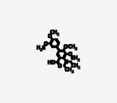 CCN(CC)c1c(C(=O)O)cc(-c2ccc(OC)c(OC)c2)c(OC)c1OC